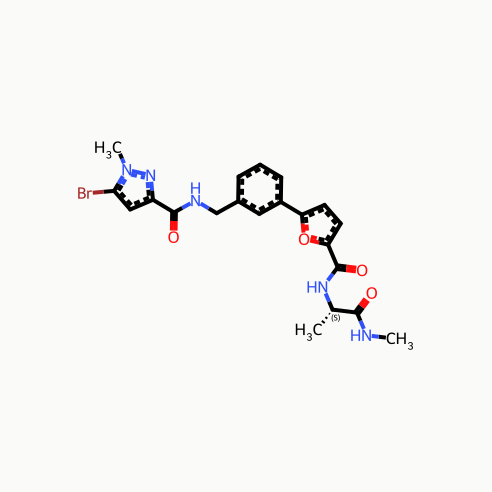 CNC(=O)[C@H](C)NC(=O)c1ccc(-c2cccc(CNC(=O)c3cc(Br)n(C)n3)c2)o1